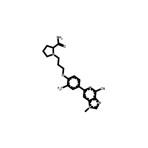 Cn1cnc2c(C#N)nc(-c3ccc(OCCCN4CCCC4C(N)=O)c(C(F)(F)F)c3)cc21